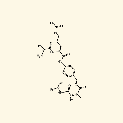 CC(C)[C@H](N)C(=O)N[C@@H](CCCNC(N)=O)C(=O)Nc1ccc(COC(=O)N(C)[C@H](C(=O)N[C@H](O)C(C)C)C(C)C)cc1